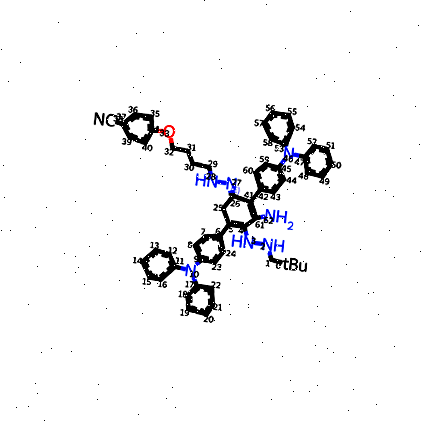 CC(C)(C)CNNC1=C(c2ccc(N(c3ccccc3)c3ccccc3)cc2)C/C(=N\NCCCCOc2ccc(C#N)cc2)C(c2ccc(N(c3ccccc3)c3ccccc3)cc2)=C1N